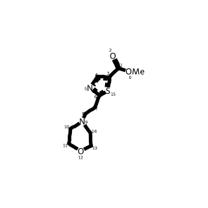 COC(=O)c1cnc(CCN2CCOCC2)s1